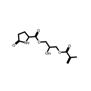 C=C(C)C(=O)OCC(O)COC(=O)C1CCC(=O)N1